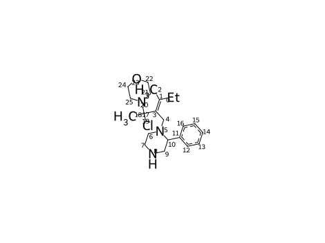 CCC(C)=C(CN1CCNCC1c1ccccc1)C(C)(Cl)N1CCOCC1